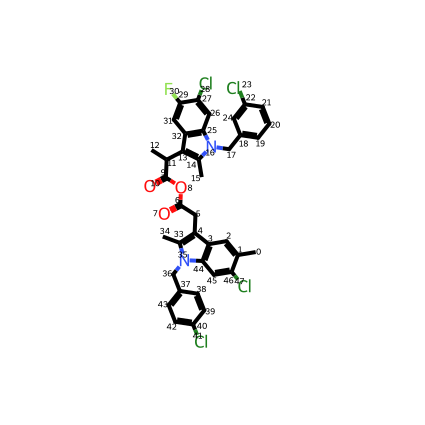 Cc1cc2c(CC(=O)OC(=O)C(C)c3c(C)n(Cc4cccc(Cl)c4)c4cc(Cl)c(F)cc34)c(C)n(Cc3ccc(Cl)cc3)c2cc1Cl